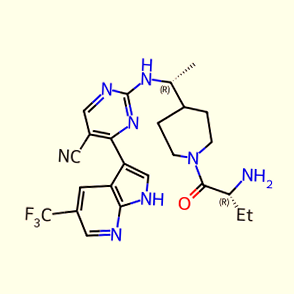 CC[C@@H](N)C(=O)N1CCC([C@@H](C)Nc2ncc(C#N)c(-c3c[nH]c4ncc(C(F)(F)F)cc34)n2)CC1